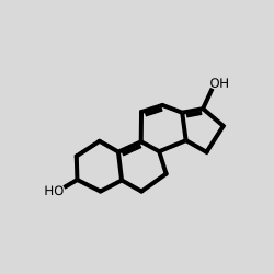 OC1=C2C=CC3=C4CCC(O)CC4CCC3C2CC1